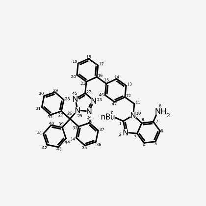 CCCCc1nc2cccc(N)c2n1Cc1ccc(-c2ccccc2-c2nnn(C(c3ccccc3)(c3ccccc3)c3ccccc3)n2)cc1